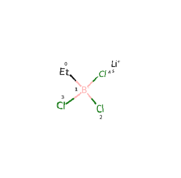 CC[B-](Cl)(Cl)Cl.[Li+]